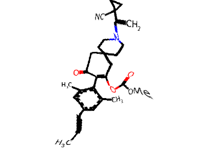 C=C(N1CCC2(CC1)CC(=O)C(c1c(C)cc(C#CC)cc1C)=C(OC(=O)OC)C2)C1(C#N)CC1